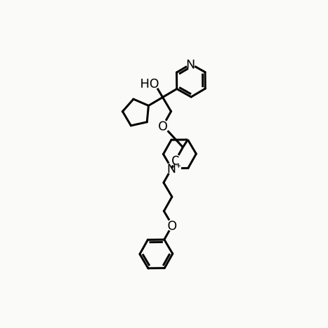 OC(COC1C[N+]2(CCCOc3ccccc3)CCC1CC2)(c1cccnc1)C1CCCC1